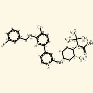 C[C@@H]1C[C@H](Nc2cc(-c3ccc(Cl)c(NCc4cccc(F)c4)n3)ccn2)CC[C@H]1N(C(=O)O)C(C)(C)C